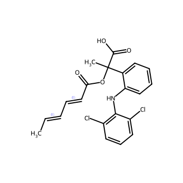 C/C=C/C=C/C(=O)OC(C)(C(=O)O)c1ccccc1Nc1c(Cl)cccc1Cl